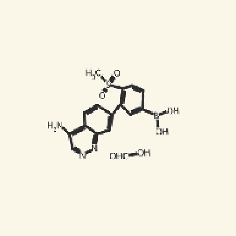 CS(=O)(=O)c1ccc(B(O)O)cc1-c1ccc2c(N)cnnc2c1.O=CO